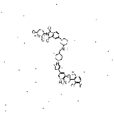 C[C@@H](Oc1cc(-c2cnn(C3CCC(CNC4CCCN(c5ccc6c(c5)C(=O)N(C5CCC(=O)NC5=O)C6=O)C4)CC3)c2)cnc1N)c1c(Cl)ccc(F)c1Cl